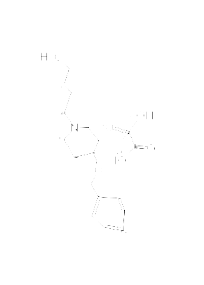 CCCCCN1CCC(OCc2ccccc2)CC1.O=C(O)C(=O)O